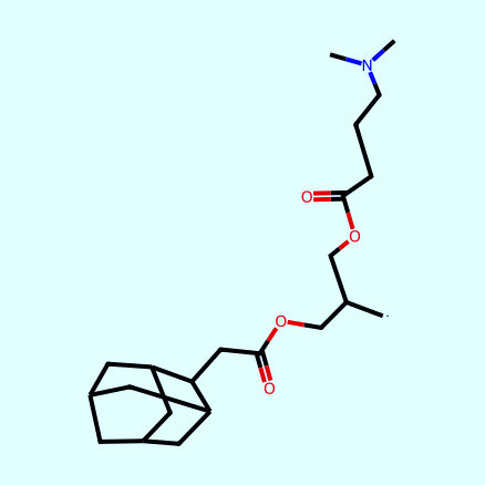 [CH2]C(COC(=O)CCCN(C)C)COC(=O)CC1C2CC3CC(C2)CC1C3